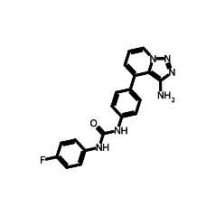 Nc1nnn2cccc(-c3ccc(NC(=O)Nc4ccc(F)cc4)cc3)c12